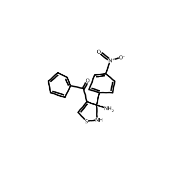 NC1(c2ccc([N+](=O)[O-])cc2)NSC=C1C(=O)c1ccccc1